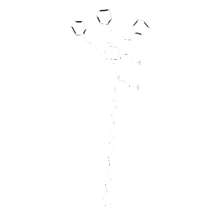 CCCCCCCCCCCCCCCCOC[C@H](CO[C@@H]1O[C@H](COCc2ccccc2)[C@@H](OCc2ccccc2)[C@H](OCc2ccccc2)[C@H]1OC)OC